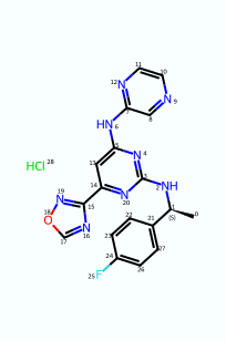 C[C@H](Nc1nc(Nc2cnccn2)cc(-c2ncon2)n1)c1ccc(F)cc1.Cl